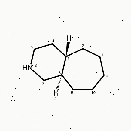 C1CC[C@H]2CCNC[C@@H]2CC1